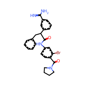 N=C(N)c1cccc(C(Cc2ccccc2)C(=O)Nc2ccc(C(=O)N3CCCC3)c(Br)c2)c1